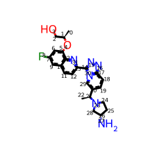 C[C@H](CO)Oc1cc(F)cc2ccc(-c3nnc4ccc([C@H](C)N5CC[C@H](N)C5)cn34)nc12